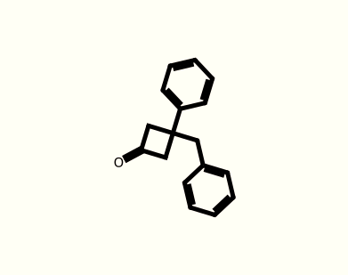 O=C1CC(Cc2ccccc2)(c2ccccc2)C1